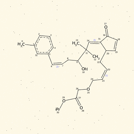 Cc1cccc(/C=C\CC(O)C(C)(C)/C=C2/C(=O)C=CC2C/C=C\COCC(=O)OC(C)C)c1